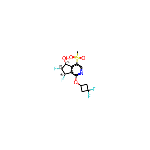 CS(=O)(=O)c1cnc(OC2CC(F)(F)C2)c2c1[C@H](O)[C@H](F)[C@@H]2F